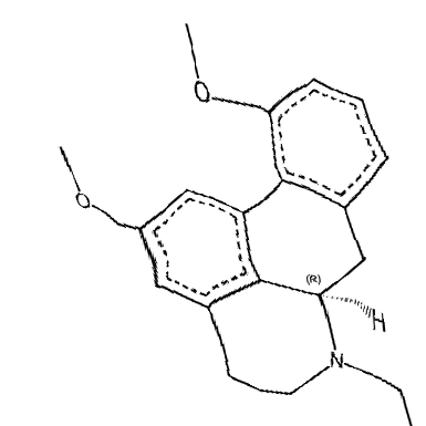 CCN1CCc2cc(OC)cc3c2[C@H]1Cc1cccc(OC)c1-3